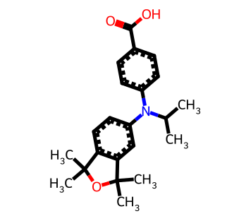 CC(C)N(c1ccc(C(=O)O)cc1)c1ccc2c(c1)C(C)(C)OC2(C)C